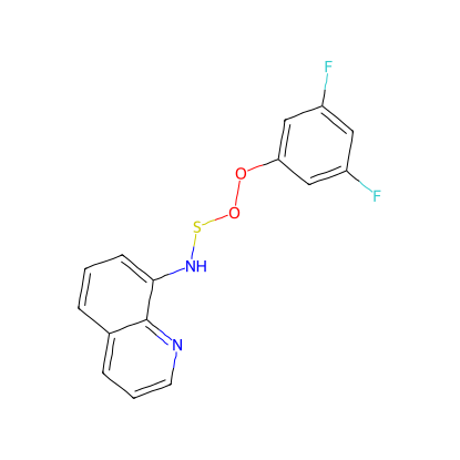 Fc1cc(F)cc(OOSNc2cccc3cccnc23)c1